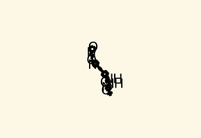 CC(C)(C)c1cc(NC(=O)Nc2ccc(C#Cc3ccc(OCCN4CCOCC4)nc3)cc2)no1